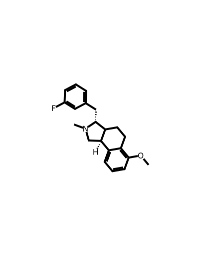 COc1cccc2c1CCC1[C@@H]2CN(C)[C@@H]1Cc1cccc(F)c1